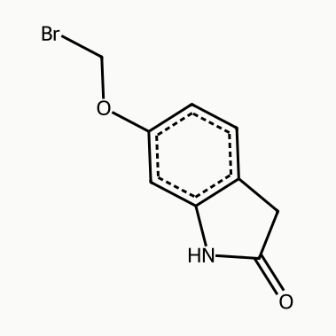 O=C1Cc2ccc(OCBr)cc2N1